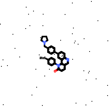 CSc1ccc(-n2c(=O)ccc3cnc4ccc(-c5ccc(CN6CCCC6)cc5)cc4c32)cc1